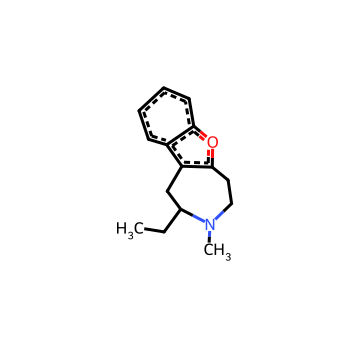 CCC1Cc2c(oc3ccccc23)CCN1C